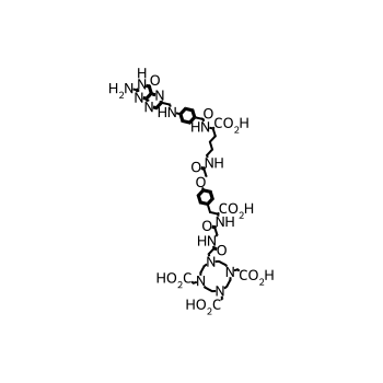 Nc1nc2ncc(CNc3ccc(C(=O)NC(CCCCNC(=O)COc4ccc(CC(NC(=O)CNC(=O)CN5CCN(CC(=O)O)CCN(CC(=O)O)CCN(CC(=O)O)CC5)C(=O)O)cc4)C(=O)O)cc3)nc2c(=O)[nH]1